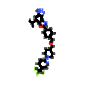 CC(C)c1cc(N)cc2nc(-c3ccc(COCC4CCN(c5ccc(C(F)(F)F)cn5)CC4)cc3)oc12